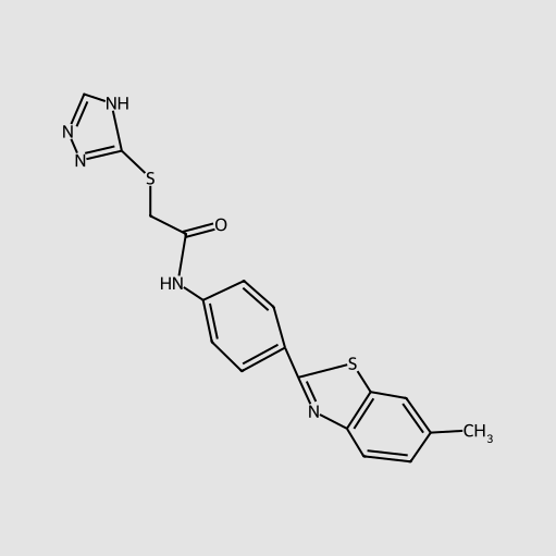 Cc1ccc2nc(-c3ccc(NC(=O)CSc4nnc[nH]4)cc3)sc2c1